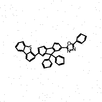 c1ccc(-c2nnc(-c3ccc4c(c3)C(c3ccccc3)(c3ccccc3)c3cc(-c5cccc6c5sc5ccccc56)ccc3-4)o2)cc1